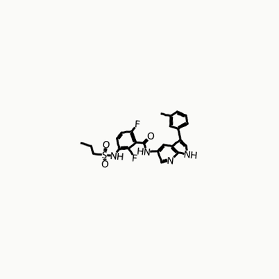 CCCS(=O)(=O)Nc1ccc(F)c(C(=O)Nc2cnc3[nH]cc(-c4cccc(C)c4)c3c2)c1F